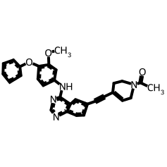 COc1cc(Nc2ncnc3ccc(C#CC4=CCN(C(C)=O)CC4)cc23)ccc1Oc1ccccc1